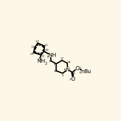 CCCCOC(=O)N1CCC(CNc2ccccc2N)CC1